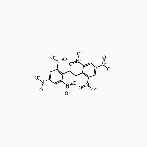 O=[N+]([O-])c1cc([N+](=O)[O-])c(CCc2c([N+](=O)[O-])cc([N+](=O)[O-])cc2[N+](=O)[O-])c([N+](=O)[O-])c1